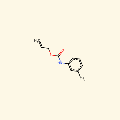 C=CCOC(=O)Nc1cccc(C)c1